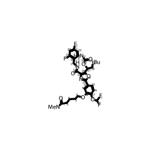 CNC(=O)CCCCOc1cc(-c2nc(C(=O)NCc3ccc(F)cc3F)c(C(CC(C)(C)C)OC(N)=O)o2)ccc1OC(F)F